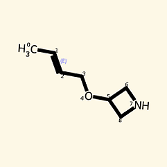 C/C=C/COC1CNC1